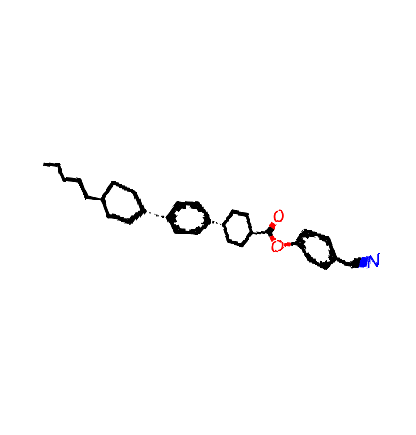 CCCCC[C@H]1CC[C@H](c2ccc([C@H]3CC[C@H](C(=O)Oc4ccc(C#N)cc4)CC3)cc2)CC1